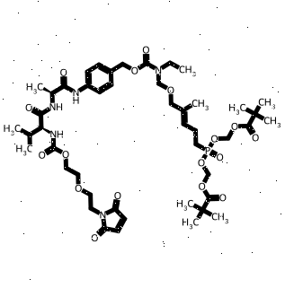 CCN(COC/C(C)=C/CCP(=O)(OCOC(=O)C(C)(C)C)OCOC(=O)C(C)(C)C)C(=O)OCc1ccc(NC(=O)[C@H](C)NC(=O)[C@@H](NC(=O)OCCOCCN2C(=O)C=CC2=O)C(C)C)cc1